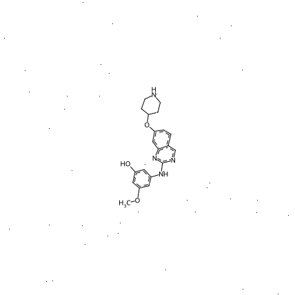 COc1cc(O)cc(Nc2ncc3ccc(OC4CCNCC4)cc3n2)c1